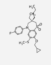 CCCC[C@]1(CC)CN(c2ccc(F)cc2)c2cc(SC)c(OCC3CC3)cc2S(=O)(=O)C1